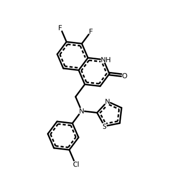 O=c1cc(CN(c2cccc(Cl)c2)c2nccs2)c2ccc(F)c(F)c2[nH]1